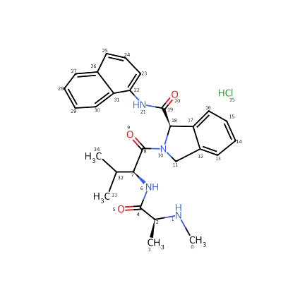 CN[C@@H](C)C(=O)N[C@H](C(=O)N1Cc2ccccc2[C@@H]1C(=O)Nc1cccc2ccccc12)C(C)C.Cl